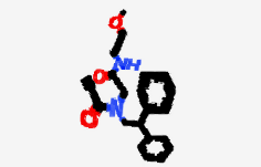 C#CC(=O)N(CC(=O)NCCOC)CC(c1ccccc1)c1ccccc1